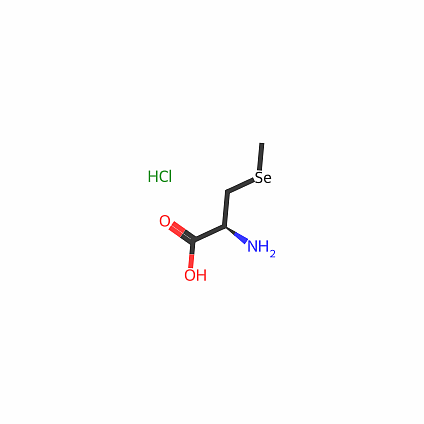 C[Se]C[C@@H](N)C(=O)O.Cl